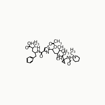 CC(=O)OC(CC(C(C)C)N(C)C(=O)C1(NC(=O)[C@H]2CCCCN2C)CC1)c1nc(C(=O)NC(Cc2ccccc2)CC(C)C(=O)O)cs1